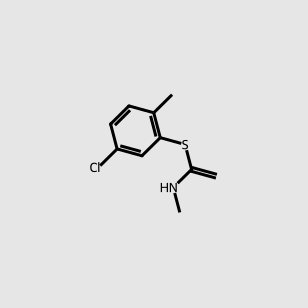 C=C(NC)Sc1cc(Cl)ccc1C